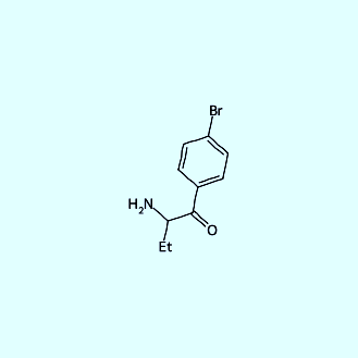 CCC(N)C(=O)c1ccc(Br)cc1